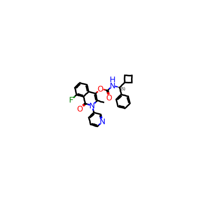 Cc1c(OC(=O)N[C@H](c2ccccc2)C2CCC2)c2cccc(F)c2c(=O)n1-c1cccnc1